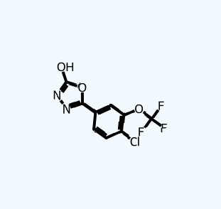 Oc1nnc(-c2ccc(Cl)c(OC(F)(F)F)c2)o1